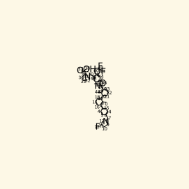 Cc1c(-c2ccc(CN3CCC(F)C3)cc2)cccc1-c1cccc(-c2nc3cc(CN4CCC[C@H]4C(=O)O)c(OC(F)F)cc3o2)c1C